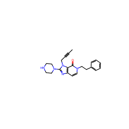 CC#CCn1c(N2CCNCC2)nc2ccn(CCc3ccccc3)c(=O)c21